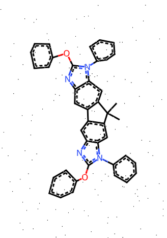 CC1(C)c2cc3c(cc2-c2cc4nc(Oc5ccccc5)n(-c5ccccc5)c4cc21)nc(Oc1ccccc1)n3-c1ccccc1